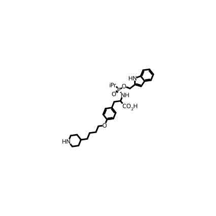 CC(C)P(=O)(NC(Cc1ccc(OCCCCC2CCNCC2)cc1)C(=O)O)OCc1cc2ccccc2[nH]1